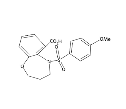 COc1ccc(S(=O)(=O)N2CCCOc3cccc(C(=O)O)c32)cc1